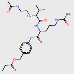 CCC(=O)OCc1ccc(NC(=O)[C@@H](CCCNC(N)=O)NC(=O)[C@H](NCCNC(C)=O)C(C)C)cc1